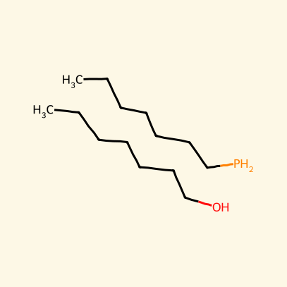 CCCCCCCO.CCCCCCCP